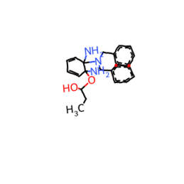 CCC(O)OC1(N)C=CC=CC1(N)N(Cc1ccccc1)Cc1ccccc1